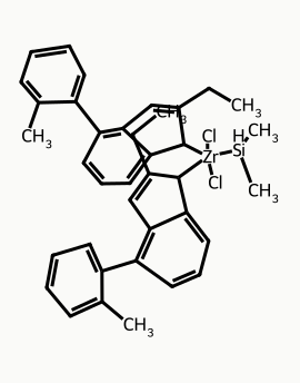 CCC1=Cc2c(-c3ccccc3C)cccc2[CH]1[Zr]([Cl])([Cl])([CH]1C(CC)=Cc2c(-c3ccccc3C)cccc21)[SiH](C)C